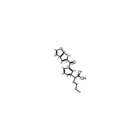 CCCCC(C(=O)O)c1cccc(C(=O)c2cc3ccsc3s2)c1